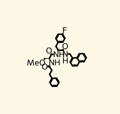 COC[C@H](NC(=O)CCc1ccccc1)C(=O)NC(Cc1ccc(F)cc1)C(=O)NCc1cccc2ccccc12